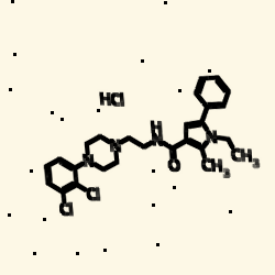 CCn1c(-c2ccccc2)cc(C(=O)NCCN2CCN(c3cccc(Cl)c3Cl)CC2)c1C.Cl